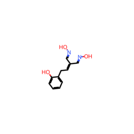 ON=CC(C=NO)=CCc1ccccc1O